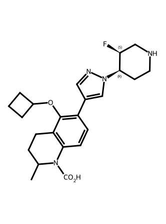 CC1CCc2c(ccc(-c3cnn([C@@H]4CCNC[C@@H]4F)c3)c2OC2CCC2)N1C(=O)O